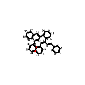 C(=Cc1ccccc1)C(=Cc1ccccc1)c1ccccc1C(C=Cc1ccccc1)=Cc1ccccc1